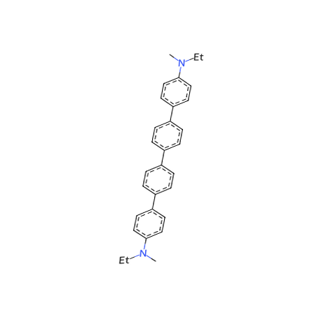 CCN(C)c1ccc(-c2ccc(-c3ccc(-c4ccc(N(C)CC)cc4)cc3)cc2)cc1